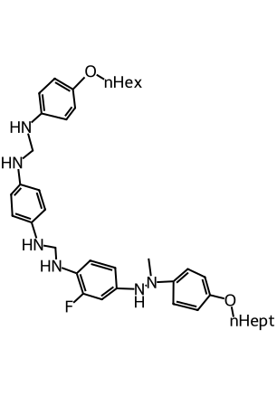 CCCCCCCOc1ccc(N(C)Nc2ccc(NCNc3ccc(NCNc4ccc(OCCCCCC)cc4)cc3)c(F)c2)cc1